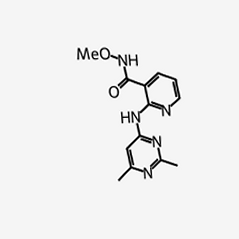 CONC(=O)c1cccnc1Nc1cc(C)nc(C)n1